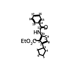 CCOC(=O)c1c(C2CCCC2)csc1NC(=O)c1ccccc1